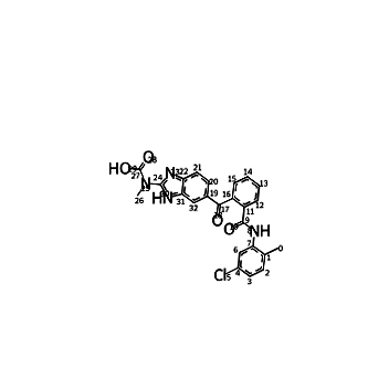 Cc1ccc(Cl)cc1NC(=O)c1ccccc1C(=O)c1ccc2nc(N(C)C(=O)O)[nH]c2c1